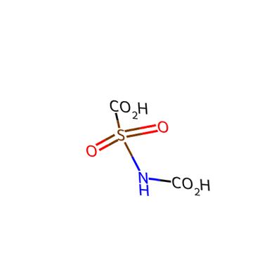 O=C(O)NS(=O)(=O)C(=O)O